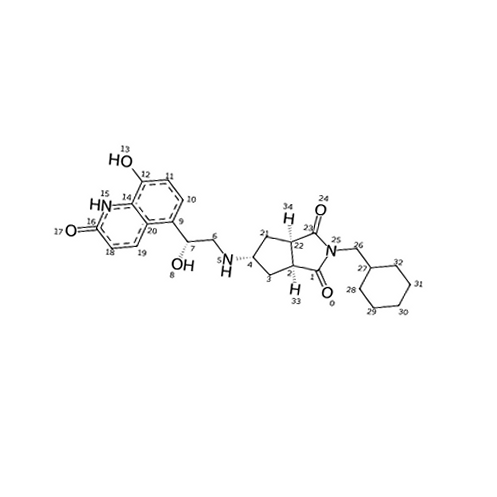 O=C1[C@H]2C[C@H](NC[C@H](O)c3ccc(O)c4[nH]c(=O)ccc34)C[C@H]2C(=O)N1CC1CCCCC1